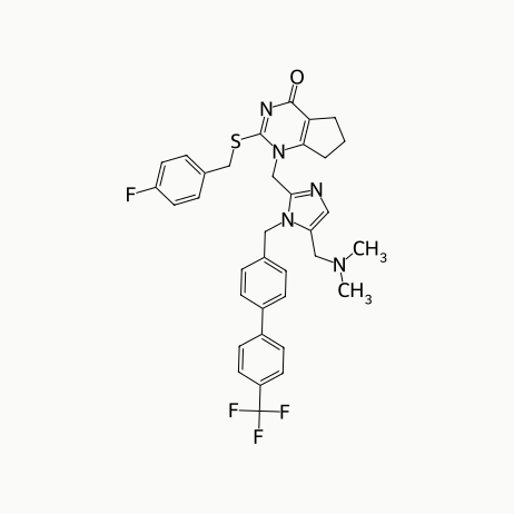 CN(C)Cc1cnc(Cn2c(SCc3ccc(F)cc3)nc(=O)c3c2CCC3)n1Cc1ccc(-c2ccc(C(F)(F)F)cc2)cc1